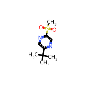 CC(C)(C)c1cnc(S(C)(=O)=O)cn1